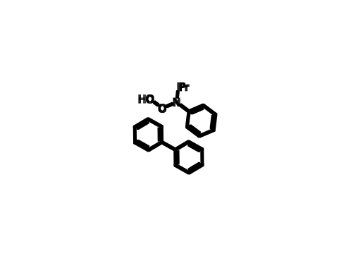 CC(C)N(OO)c1ccccc1.c1ccc(-c2ccccc2)cc1